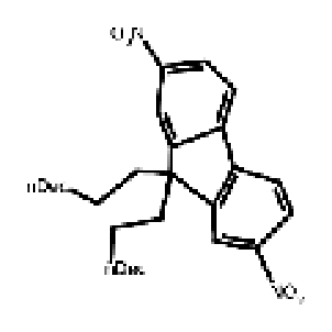 CCCCCCCCCCCCC1(CCCCCCCCCCCC)c2cc([N+](=O)[O-])ccc2-c2ccc([N+](=O)[O-])cc21